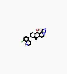 O[C@@H](c1c(C2CC2)ccn2cncc12)[C@H]1CC[C@H](c2ccc(F)c3ncccc32)CC1